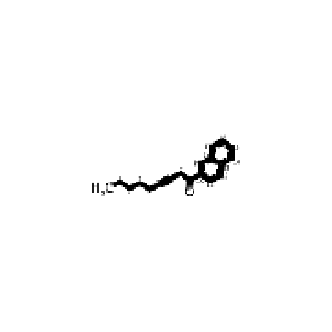 CCCCCC#CCC(=O)c1ccc2ccccc2c1